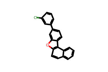 Clc1cccc(-c2ccc3c(c2)oc2ccc4ccccc4c23)c1